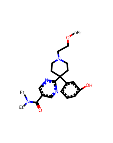 CCCOCCN1CCC(c2cccc(O)c2)(c2ncc(C(=O)N(CC)CC)cn2)CC1